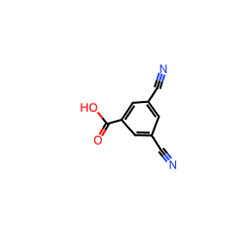 N#Cc1cc(C#N)cc(C(=O)O)c1